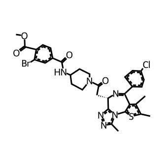 COC(=O)c1ccc(C(=O)NC2CCN(C(=O)C[C@@H]3N=C(c4ccc(Cl)cc4)c4c(sc(C)c4C)-n4c(C)nnc43)CC2)cc1Br